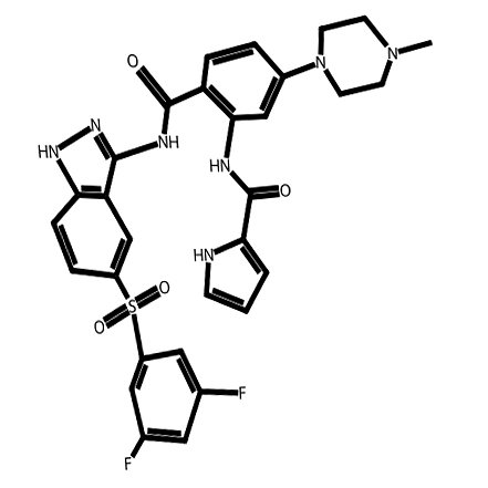 CN1CCN(c2ccc(C(=O)Nc3n[nH]c4ccc(S(=O)(=O)c5cc(F)cc(F)c5)cc34)c(NC(=O)c3ccc[nH]3)c2)CC1